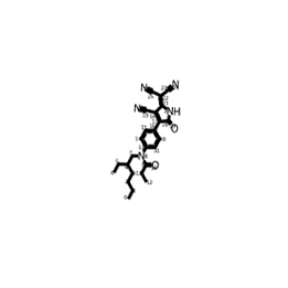 CCCCC(CC)CN(C(=O)CC)c1ccc(C2=C(C#N)C(=C(C#N)C#N)NC2=O)cc1